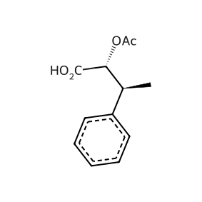 CC(=O)O[C@@H](C(=O)O)[C@@H](C)c1ccccc1